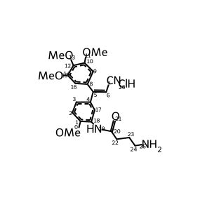 COc1ccc(C(=CC#N)c2cc(OC)c(OC)c(OC)c2)cc1NC(=O)CCCN.Cl